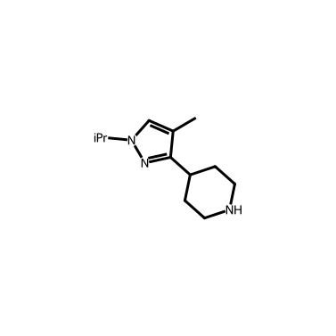 Cc1cn(C(C)C)nc1C1CCNCC1